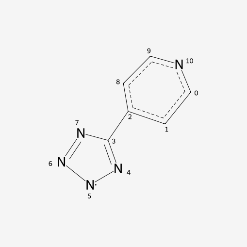 c1cc(C2=N[N]N=N2)ccn1